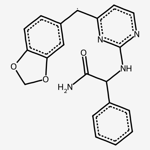 NC(=O)C(Nc1nccc([CH]c2ccc3c(c2)OCO3)n1)c1ccccc1